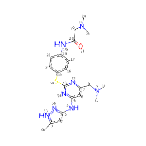 Cc1cc(Nc2cc(CN(C)C)nc(Sc3ccc(NC(=O)CN(C)C)cc3)n2)n[nH]1